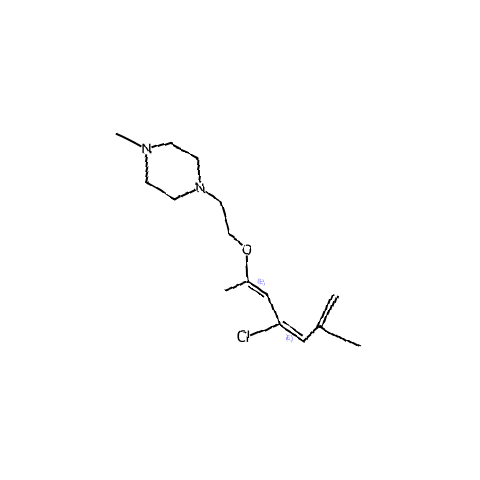 C=C(C)/C=C(Cl)\C=C(/C)OCCN1CCN(C)CC1